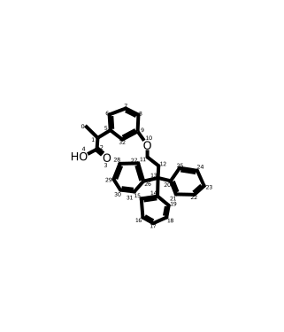 CC(C(=O)O)c1cccc(OCCC(c2ccccc2)(c2ccccc2)c2ccccc2)c1